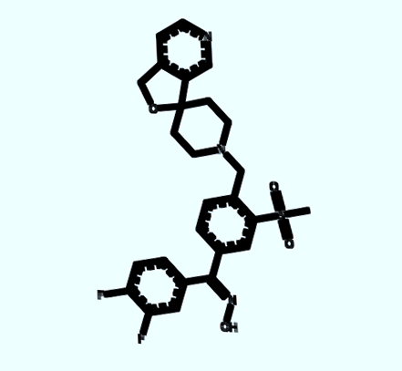 CS(=O)(=O)c1cc(C(=NO)c2ccc(F)c(F)c2)ccc1CN1CCC2(CC1)OCc1ccncc12